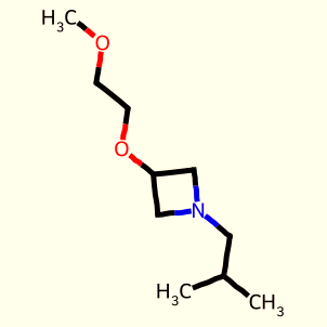 COCCOC1CN(CC(C)C)C1